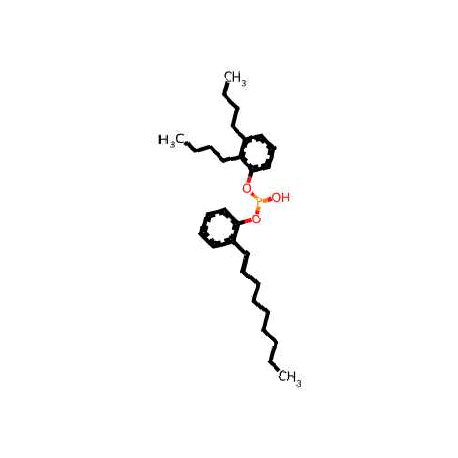 CCCCCCCCCc1ccccc1OP(O)Oc1cccc(CCCC)c1CCCC